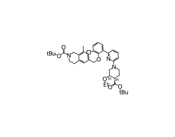 CCO[C@H]1CN(c2cccc(-c3cccc(Cl)c3OCc3cc(C)c4c(c3)CCN(C(=O)OC(C)(C)C)C4)n2)CC[C@H]1C(=O)OC(C)(C)C